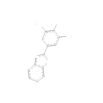 COc1cc(-c2nc3ccccc3o2)cc(OC)c1O